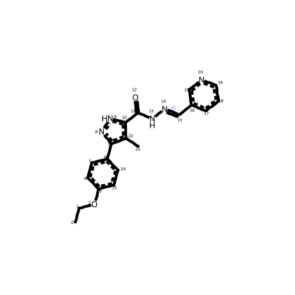 CCOc1ccc(-c2n[nH]c(C(=O)N/N=C/c3cccnc3)c2C)cc1